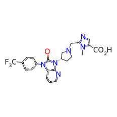 Cn1c(C(=O)O)cnc1CN1CC[C@H](n2c(=O)n(-c3ccc(C(F)(F)F)cc3)c3cccnc32)C1